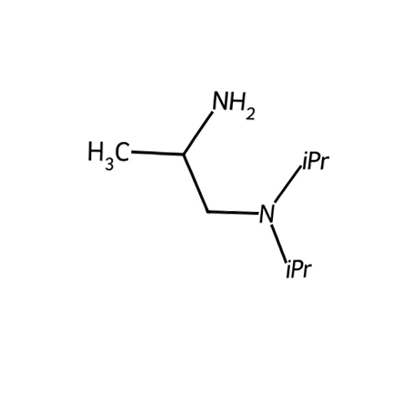 CC(N)CN(C(C)C)C(C)C